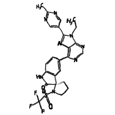 CCn1c(-c2cnc(C)nc2)nc2c(-c3ccc4c(c3)[C@]3(CCCN3S(=O)(=O)C(F)(F)F)C(=O)N4)ncnc21